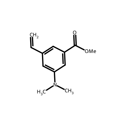 C=Cc1cc(C(=O)OC)cc(N(C)C)c1